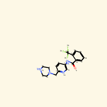 O=C(Nc1ccc(CN2CCNCC2)nc1)c1ccccc1C(F)(F)F